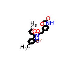 Cc1ccc(C(NC(=O)Cc2ccc3c(c2)OCC(=O)N3)c2ccc(C)o2)c(Br)c1